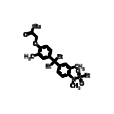 CCC(CC)(c1ccc(OCC(=O)C(C)(C)C)c(C)c1)c1ccc(N(C)S(=O)(=O)CC)c(C)c1